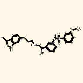 Cc1n[nH]c2cc(OCCNC[C@H](O)c3cccc(NS(=O)(=O)c4cccc(OC(F)(F)F)c4)c3)ccc12